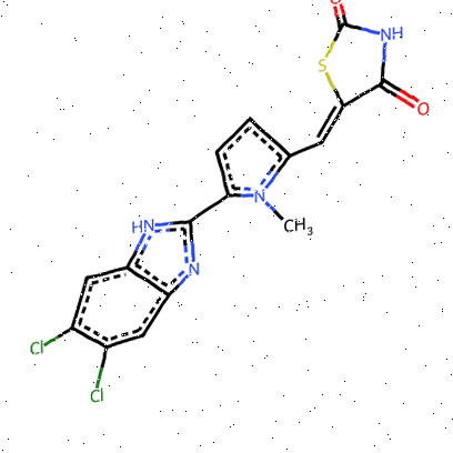 Cn1c(C=C2SC(=O)NC2=O)ccc1-c1nc2cc(Cl)c(Cl)cc2[nH]1